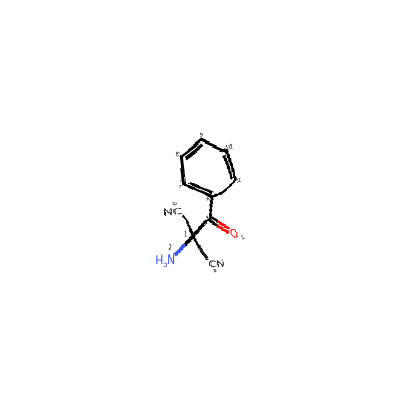 N#CC(N)(C#N)C(=O)c1ccccc1